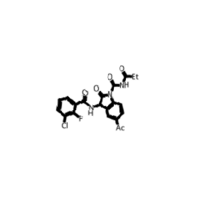 CCC(=O)NC(=O)N1C(=O)C(NC(=O)c2cccc(Cl)c2F)c2cc(C(C)=O)ccc21